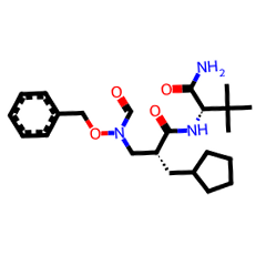 CC(C)(C)[C@H](NC(=O)[C@H](CC1CCCC1)CN(C=O)OCc1ccccc1)C(N)=O